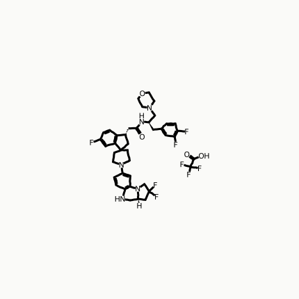 O=C(C[C@@H]1CC2(CCN(c3ccc4c(c3)N3CC(F)(F)C[C@H]3CN4)CC2)c2cc(F)ccc21)N[C@H](Cc1ccc(F)c(F)c1)CN1CCOCC1.O=C(O)C(F)(F)F